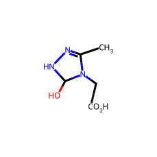 CC1=NNC(O)N1CC(=O)O